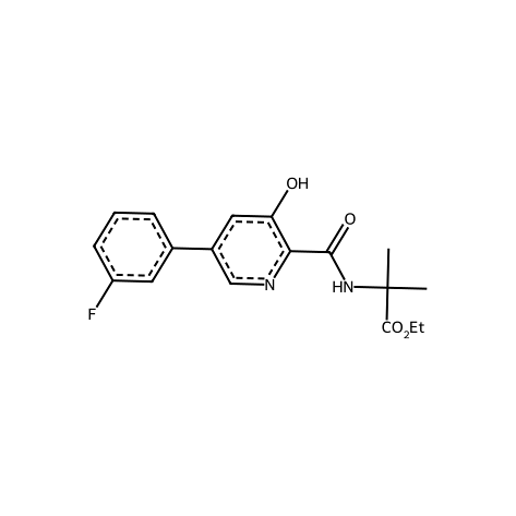 CCOC(=O)C(C)(C)NC(=O)c1ncc(-c2cccc(F)c2)cc1O